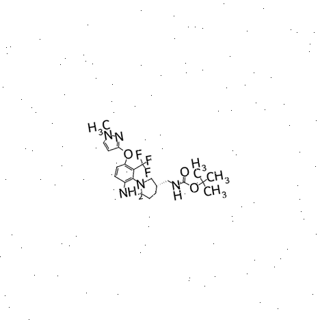 Cn1ccc(Oc2ccc(N)c(N3CCC[C@@H](CNC(=O)OC(C)(C)C)C3)c2C(F)(F)F)n1